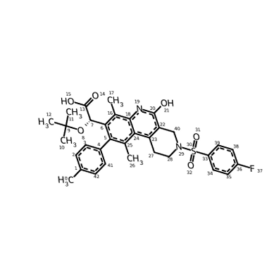 Cc1ccc(-c2c([C@H](OC(C)(C)C)C(=O)O)c(C)c3nc(O)c4c(c3c2C)CCN(S(=O)(=O)c2ccc(F)cc2)C4)cc1